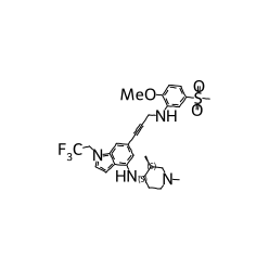 COc1ccc(S(C)(=O)=O)cc1NCC#Cc1cc(N[C@H]2CCN(C)C[C@@H]2C)c2ccn(CC(F)(F)F)c2c1